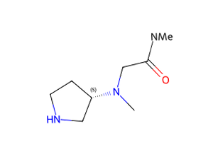 CNC(=O)CN(C)[C@H]1CCNC1